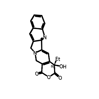 CC[C@@]1(O)C(=O)OC(=O)C2=C1C=C1c3nc4ccccc4cc3CN1C2